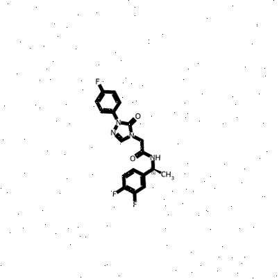 C[C@H](NC(=O)Cn1cnn(-c2ccc(F)cc2)c1=O)c1ccc(F)c(F)c1